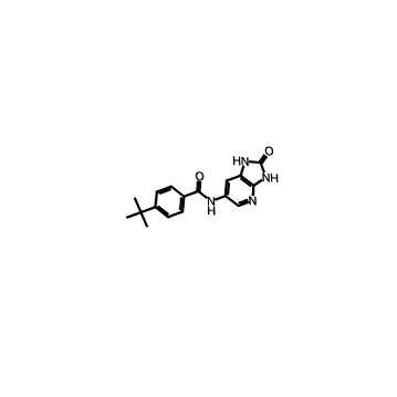 CC(C)(C)c1ccc(C(=O)Nc2cnc3[nH]c(=O)[nH]c3c2)cc1